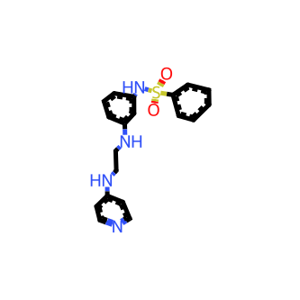 O=S(=O)(Nc1cccc(NCCNc2ccncc2)c1)c1ccccc1